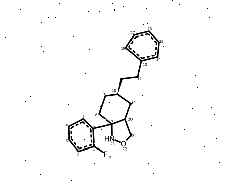 Fc1ccccc1C12CC[C@@H](CCc3ccccc3)CC1CON2